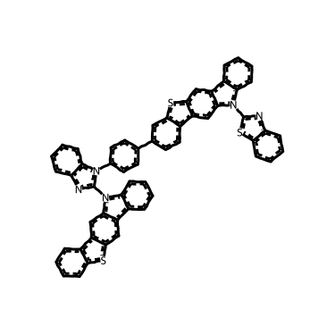 c1ccc2sc(-n3c4ccccc4c4cc5sc6cc(-c7ccc(-n8c(-n9c%10ccccc%10c%10cc%11sc%12ccccc%12c%11cc%109)nc9ccccc98)cc7)ccc6c5cc43)nc2c1